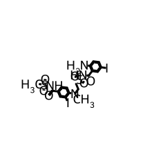 CN(CCS(=O)(=O)NC(=O)c1cc(I)ccc1N)c1ccc(C(=O)NS(C)(=O)=O)cc1I